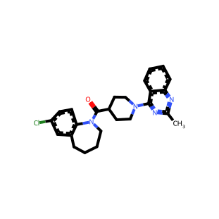 Cc1nc(N2CCC(C(=O)N3CCCCc4cc(Cl)ccc43)CC2)c2ccccc2n1